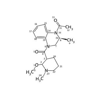 COC1C(C(=O)N2C[C@H](C)N(C(C)=O)c3ccccc32)CCCN1C